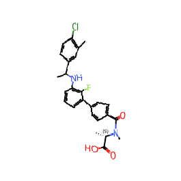 Cc1cc(C(C)Nc2cccc(-c3ccc(C(=O)N(C)[C@@H](C)C(=O)O)cc3)c2F)ccc1Cl